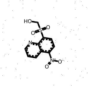 O=[N+]([O-])c1ccc(S(=O)(=O)CO)c2ncccc12